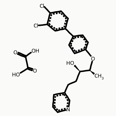 C[C@H](Oc1ccc(-c2ccc(Cl)c(Cl)c2)cc1)[C@H](O)CCc1cccnc1.O=C(O)C(=O)O